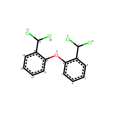 ClC(Cl)c1ccccc1Oc1ccccc1C(Cl)Cl